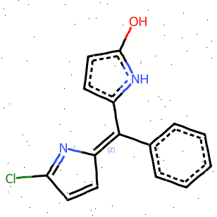 Oc1ccc(/C(=C2/C=CC(Cl)=N2)c2ccccc2)[nH]1